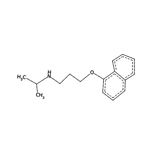 CC(C)NCCCOc1cccc2ccccc12